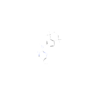 CCCN(c1ccc2c(c1)C(C)(C)CCC2(C)C)c1ncc(C(=O)O)cn1